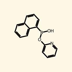 OB(Oc1ccccn1)c1cccc2ccccc12